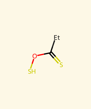 CCC(=S)OS